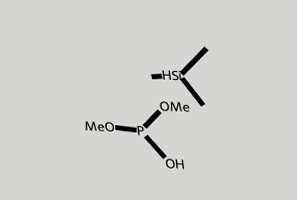 COP(O)OC.C[SiH](C)C